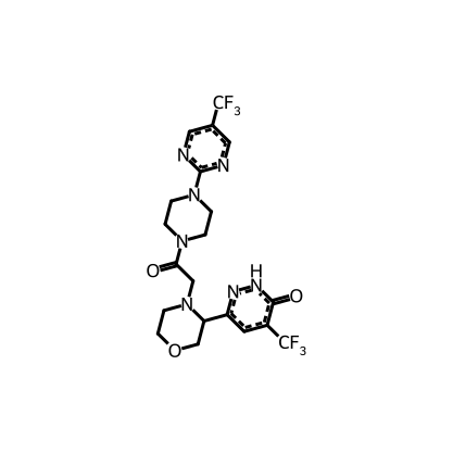 O=C(CN1CCOCC1c1cc(C(F)(F)F)c(=O)[nH]n1)N1CCN(c2ncc(C(F)(F)F)cn2)CC1